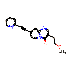 COCCc1cnc2cc(C#Cc3ccccn3)ccn2c1=O